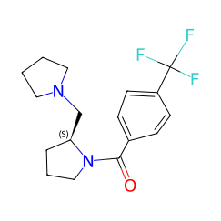 O=C(c1ccc(C(F)(F)F)cc1)N1CCC[C@H]1CN1CCCC1